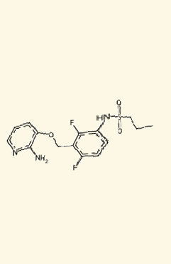 CCCS(=O)(=O)Nc1ccc(F)c(COc2cccnc2N)c1F